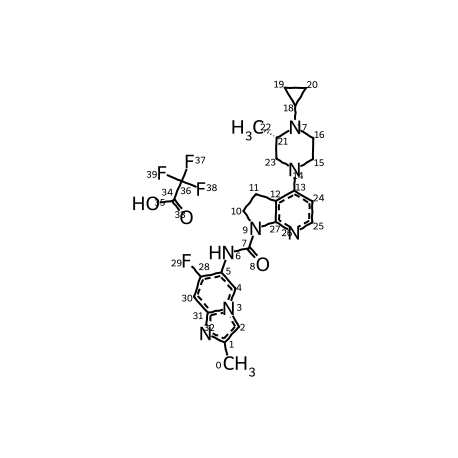 Cc1cn2cc(NC(=O)N3CCc4c(N5CCN(C6CC6)[C@@H](C)C5)ccnc43)c(F)cc2n1.O=C(O)C(F)(F)F